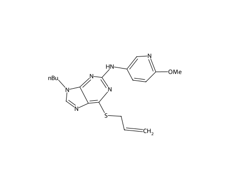 C=CCSc1nc(Nc2ccc(OC)nc2)nc2c1ncn2CCCC